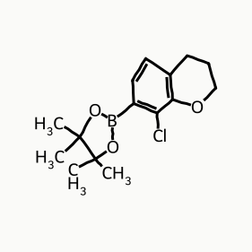 CC1(C)OB(c2ccc3c(c2Cl)OCCC3)OC1(C)C